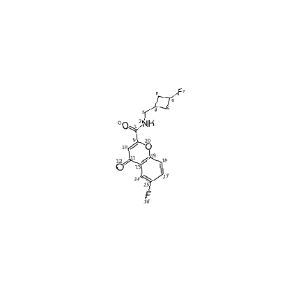 O=C(NCC1CC(F)C1)c1cc(=O)c2cc(F)ccc2o1